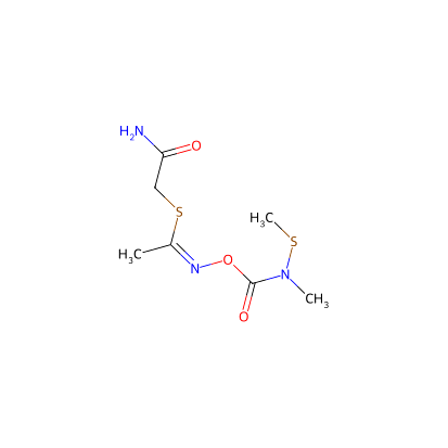 CSN(C)C(=O)ON=C(C)SCC(N)=O